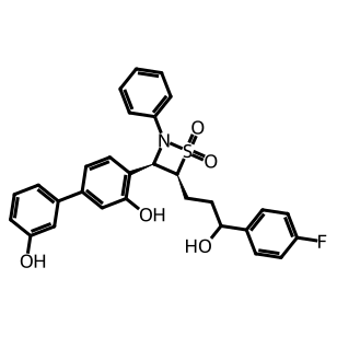 O=S1(=O)[C@@H](CCC(O)c2ccc(F)cc2)[C@@H](c2ccc(-c3cccc(O)c3)cc2O)N1c1ccccc1